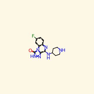 O=c1[nH]nc2c(NC3CCNCC3)nc3ccc(F)cc3n12